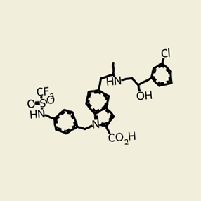 CC(Cc1ccc2c(c1)cc(C(=O)O)n2Cc1ccc(NS(=O)(=O)C(F)(F)F)cc1)NCC(O)c1cccc(Cl)c1